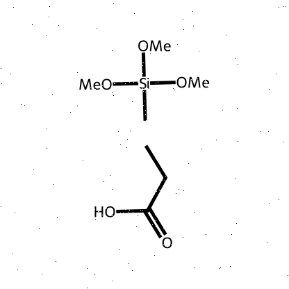 CCC(=O)O.CO[Si](C)(OC)OC